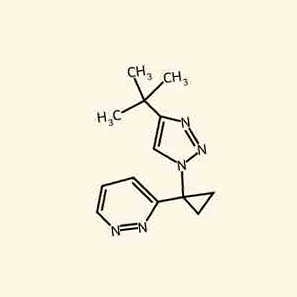 CC(C)(C)c1cn(C2(c3cccnn3)CC2)nn1